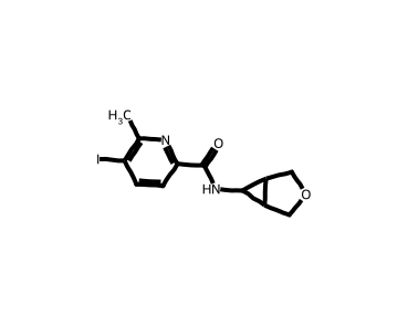 Cc1nc(C(=O)NC2C3COCC32)ccc1I